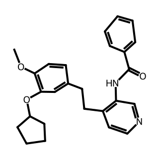 COc1ccc(CCc2ccncc2NC(=O)c2ccccc2)cc1OC1CCCC1